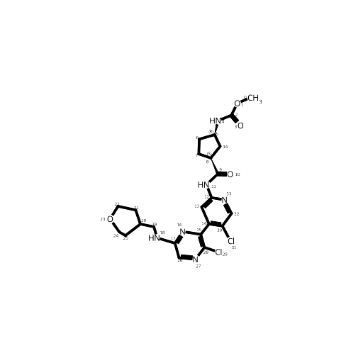 COC(=O)N[C@@H]1CC[C@H](C(=O)Nc2cc(-c3nc(NCC4CCOCC4)cnc3Cl)c(Cl)cn2)C1